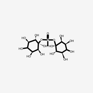 CP(=O)(O[C@]1(O)[C@@H](O)[C@H](O)C(O)[C@H](O)[C@@H]1O)O[C@]1(O)[C@@H](O)[C@H](O)C(O)[C@H](O)[C@@H]1O